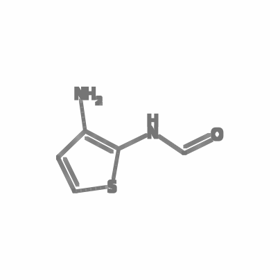 Nc1ccsc1NC=O